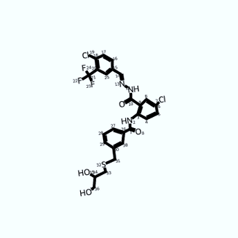 O=C(Nc1ccc(Cl)cc1C(=O)N/N=C/c1ccc(Cl)c(C(F)(F)F)c1)c1cccc(CSCC(O)CO)c1